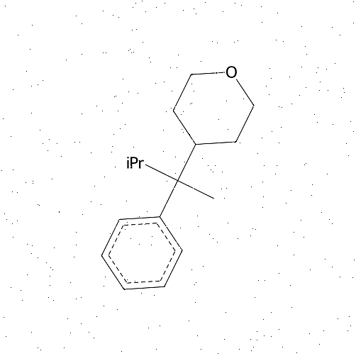 CC(C)C(C)(c1ccccc1)C1CCOCC1